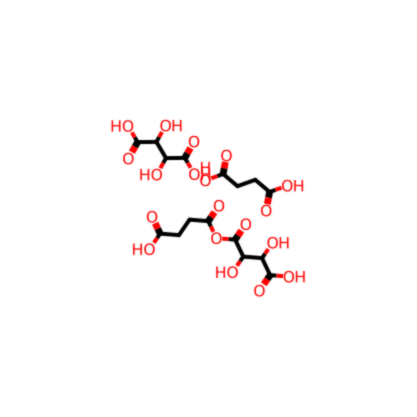 O=C(O)C(O)C(O)C(=O)O.O=C(O)CCC(=O)O.O=C(O)CCC(=O)OC(=O)C(O)C(O)C(=O)O